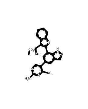 CC(=O)O.NCc1c(-c2cc(-c3cnc(N)nc3N)cc3cn[nH]c23)sc2ccccc12